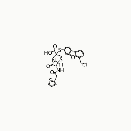 O=C(Cc1cccs1)N[C@@H]1C(=O)N2CC(Sc3ccc4c(c3)oc3c(CCl)cccc34)(C(=O)O)CS[C@H]12